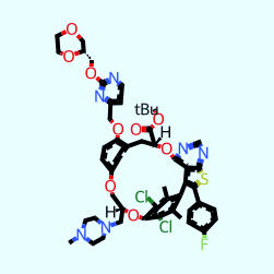 Cc1c(Cl)c2c(Cl)c(C)c1-c1c(-c3ccc(F)cc3)sc3ncnc(c13)O[C@@H](C(=O)OC(C)(C)C)Cc1cc(ccc1OCc1ccnc(OC[C@H]3COCCO3)n1)OC[C@@H](CN1CCN(C)CC1)O2